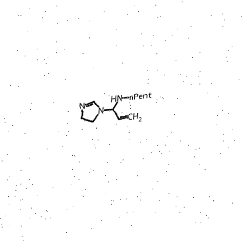 C=CC(NCCCCC)N1C=NCC1